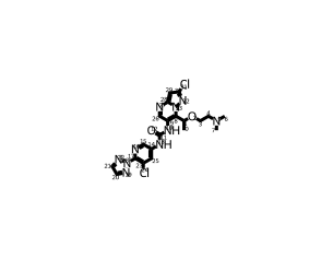 CC(OCCN(C)C)c1c(NC(=O)Nc2cnc(-n3nccn3)c(Cl)c2)cnc2cc(Cl)nn12